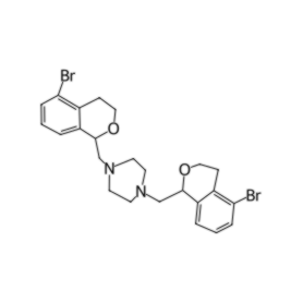 Brc1cccc2c1CCOC2CN1CCN(CC2OCCc3c(Br)cccc32)CC1